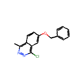 Cc1nnc(Cl)c2cc(OCc3ccccc3)ccc12